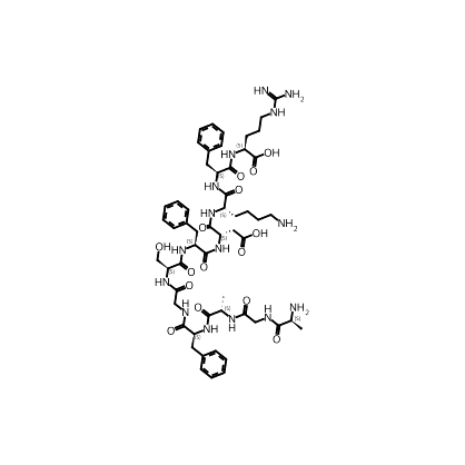 C[C@H](N)C(=O)NCC(=O)N[C@@H](C)C(=O)N[C@@H](Cc1ccccc1)C(=O)NCC(=O)N[C@@H](CO)C(=O)N[C@@H](Cc1ccccc1)C(=O)N[C@@H](CC(=O)O)C(=O)N[C@@H](CCCCN)C(=O)N[C@@H](Cc1ccccc1)C(=O)N[C@@H](CCCNC(=N)N)C(=O)O